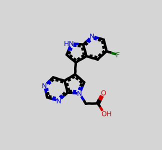 O=C(O)Cn1cc(-c2c[nH]c3ncc(F)cc23)c2cncnc21